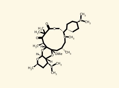 CO[C@]12C[C@@H](C)CN(C)[C@@H]([C@H]3CC[C@H](N(C)C)CC3)COC(=O)C(C)(C)C(=O)[C@H](C)[C@H]1O[C@@H]1O[C@H](C)C[C@H](N(C)C)[C@H]1O2